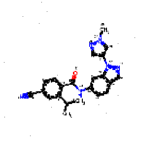 CC(C)c1cc(C#N)ccc1C(=O)Nc1ccc2cnn(-c3cnn(C)c3)c2c1